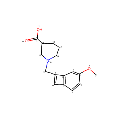 COc1ccc2c(c1)C(CN1CCCC(C(=O)O)C1)=C2